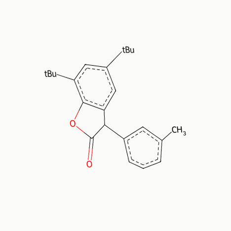 Cc1cccc(C2C(=O)Oc3c2cc(C(C)(C)C)cc3C(C)(C)C)c1